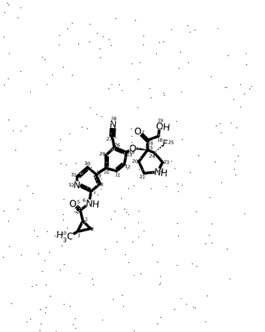 CC1CC1C(=O)Nc1cc(-c2ccc(O[C@]3(C(=O)CO)CCNC[C@H]3F)c(C#N)c2)ccn1